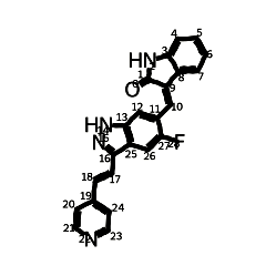 O=C1Nc2ccccc2C1=Cc1cc2[nH]nc(/C=C/c3ccncc3)c2cc1F